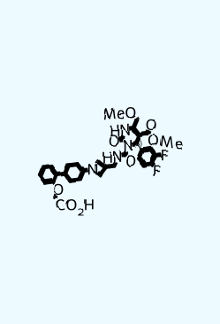 COCC1=C(C(=O)OC)[C@H](c2ccc(F)c(F)c2)N(C(=O)NCC2CN(C3CCC(c4ccccc4OCC(=O)O)CC3)C2)C(=O)N1